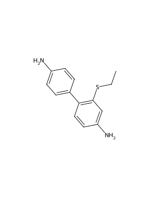 CCSc1cc(N)ccc1-c1ccc(N)cc1